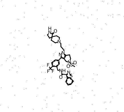 CS(=O)(=O)N1CCc2c(c(-c3ccc(C(F)(F)F)c(CNC(=O)c4nsc5ccccc45)c3)nn2CCCN2CCC3(CCNC3=O)CC2)C1